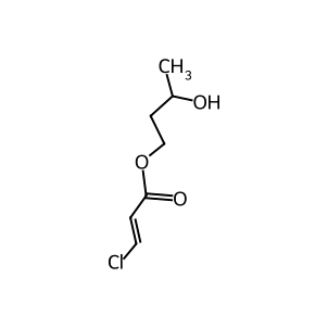 CC(O)CCOC(=O)C=CCl